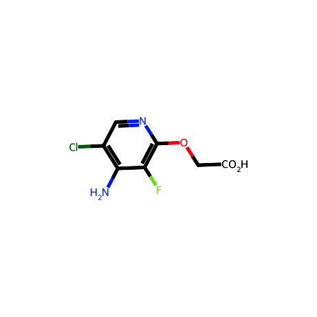 Nc1c(Cl)cnc(OCC(=O)O)c1F